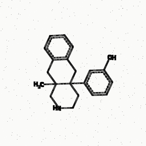 CC12CNCCC1(c1cccc(O)c1)Cc1ccccc1C2